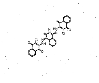 C=C1C(N/N=c2\[nH][nH]/c(=N/NC3=C(Cl)C(=O)c4ccccc4C3=O)c3ccccc23)=C(Cl)C(=O)c2ccccc21